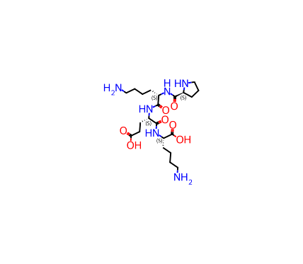 NCCCC[C@H](NC(=O)[C@H](CCC(=O)O)NC(=O)[C@H](CCCCN)NC(=O)[C@@H]1CCCN1)C(=O)O